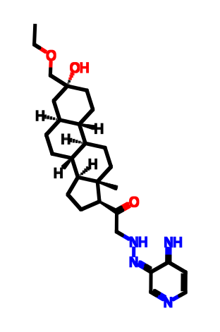 CCOC[C@@]1(O)CC[C@H]2[C@@H](CC[C@@H]3[C@@H]2CC[C@]2(C)[C@@H](C(=O)CN/N=C4/C=NC=CC4=N)CC[C@@H]32)C1